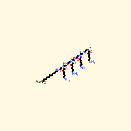 CCN(CC(=O)NCCN(CC(=O)NCCN(CC(=O)NCCN(CC(=O)NCCCCCCCCCCC(=O)NC)C(=O)CCCCCN)C(=O)CCCCCN)C(=O)CCCCCN)C(=O)CCCCCN